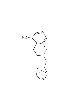 Cc1cccc2c1CCN(CC1CC3C=CC1C3)C2